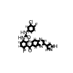 O=C(Nc1ccc(F)c(Cl)c1)Nc1ccc(F)c(C(=O)c2ccc3ncc(-c4cn[nH]c4)nc3c2)c1F